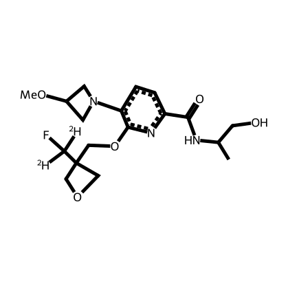 [2H]C([2H])(F)C1(COc2nc(C(=O)NC(C)CO)ccc2N2CC(OC)C2)COC1